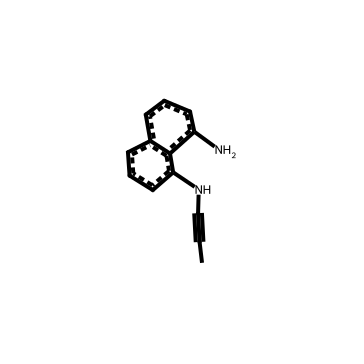 CC#CNc1cccc2cccc(N)c12